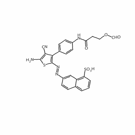 N#Cc1c(N)sc(N=Nc2ccc3cccc(S(=O)(=O)O)c3c2)c1-c1ccc(NC(=O)CCOC=O)cc1